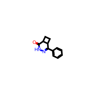 O=C1NN=C(c2ccccc2)C2CCC12